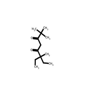 CCC(C)(CC)C(=O)CC(=O)C(C)(C)C